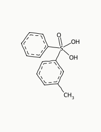 Cc1cccc(S(=O)(O)(O)c2ccccc2)c1